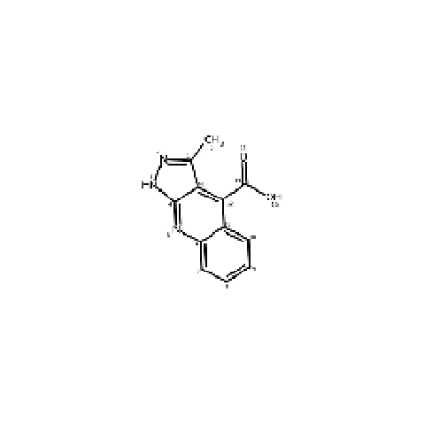 Cc1n[nH]c2nc3ccccc3c(C(=O)O)c12